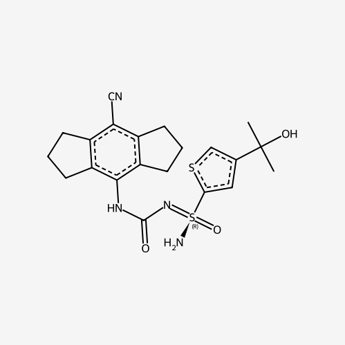 CC(C)(O)c1csc([S@](N)(=O)=NC(=O)Nc2c3c(c(C#N)c4c2CCC4)CCC3)c1